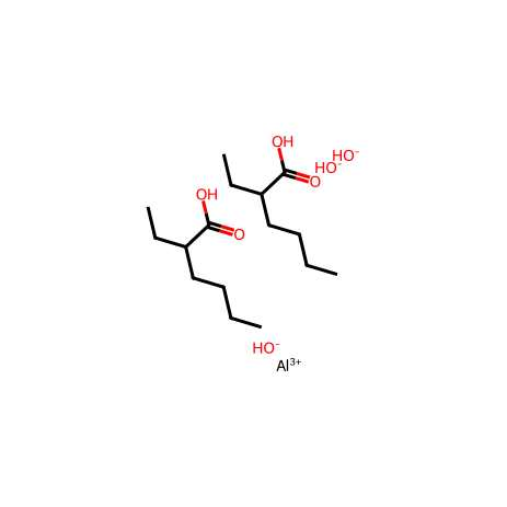 CCCCC(CC)C(=O)O.CCCCC(CC)C(=O)O.[Al+3].[OH-].[OH-].[OH-]